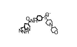 O=C(NCc1ccc([S+]([O-])C2CCN(C3CCOCC3)CC2)cc1)c1cnc2[nH]ncc2c1